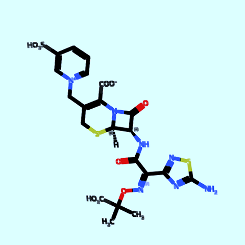 CC(C)(O/N=C(\C(=O)N[C@@H]1C(=O)N2C(C(=O)[O-])=C(C[n+]3cccc(S(=O)(=O)O)c3)CS[C@H]12)c1nsc(N)n1)C(=O)O